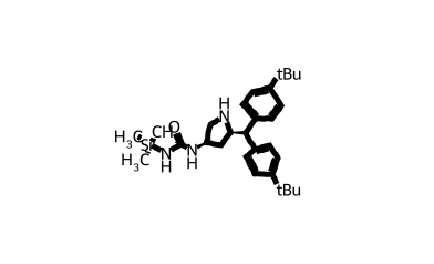 CC(C)(C)c1ccc(C(c2ccc(C(C)(C)C)cc2)[C@H]2C[C@@H](NC(=O)N[Si](C)(C)C)CN2)cc1